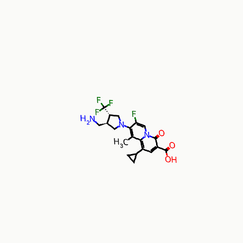 Cc1c(N2C[C@@H](CN)[C@H](C(F)(F)F)C2)c(F)cn2c(=O)c(C(=O)O)cc(C3CC3)c12